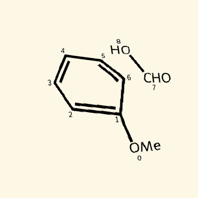 COc1ccccc1.O=CO